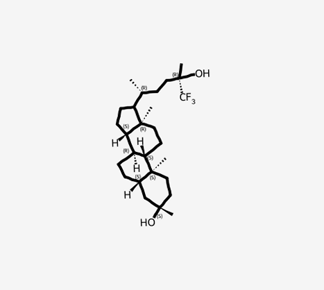 C[C@H](CC[C@@](C)(O)C(F)(F)F)C1CC[C@H]2[C@@H]3CC[C@H]4C[C@@](C)(O)CC[C@]4(C)[C@H]3CC[C@]12C